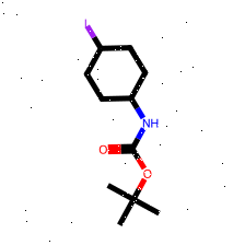 CC(C)(C)OC(=O)NC1CCC(I)CC1